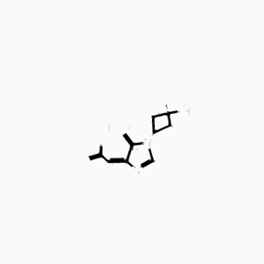 C=C(Br)/C=c1/ncn([C@H]2C[C@@](C)(O)C2)c1=C